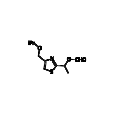 CC(C)OCc1csc(C(C)OC=O)n1